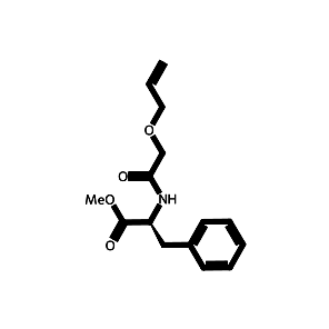 C=CCOCC(=O)N[C@@H](Cc1ccccc1)C(=O)OC